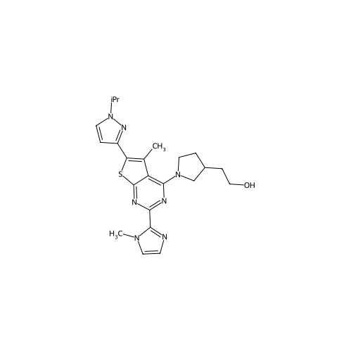 Cc1c(-c2ccn(C(C)C)n2)sc2nc(-c3nccn3C)nc(N3CCC(CCO)C3)c12